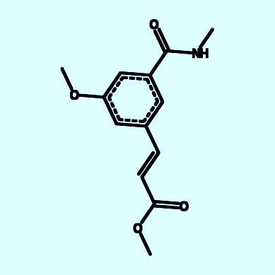 CNC(=O)c1cc(C=CC(=O)OC)cc(OC)c1